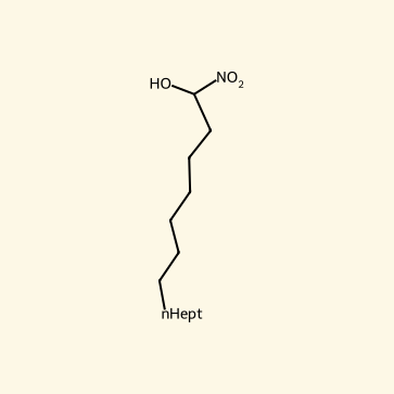 CCCCCCCCCCCCCC(O)[N+](=O)[O-]